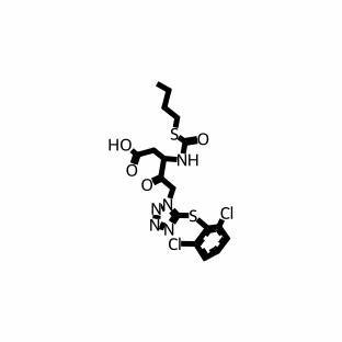 CCCCSC(=O)NC(CC(=O)O)C(=O)Cn1nnnc1Sc1c(Cl)cccc1Cl